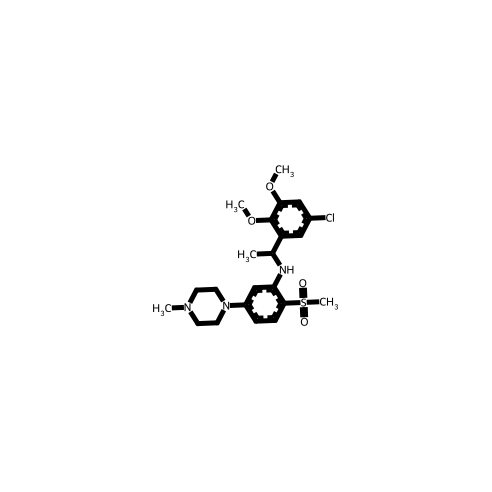 COc1cc(Cl)cc(C(C)Nc2cc(N3CCN(C)CC3)ccc2S(C)(=O)=O)c1OC